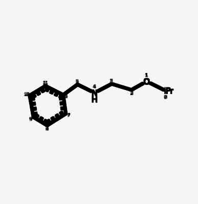 CC(C)OCCNCc1ccccc1